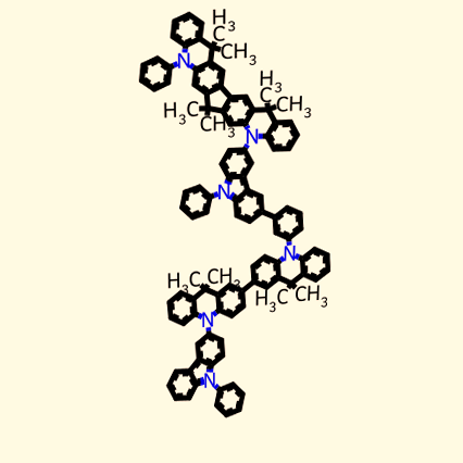 CC1(C)c2cc3c(cc2-c2cc4c(cc21)N(c1ccc2c(c1)c1cc(-c5cccc(N6c7ccccc7C(C)(C)c7cc(-c8ccc9c(c8)C(C)(C)c8ccccc8N9c8ccc9c(c8)c8ccccc8n9-c8ccccc8)ccc76)c5)ccc1n2-c1ccccc1)c1ccccc1C4(C)C)C(C)(C)c1ccccc1N3c1ccccc1